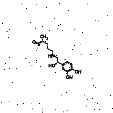 CC(CCCNC[C@H](O)c1ccc(O)c(O)c1)=S=O